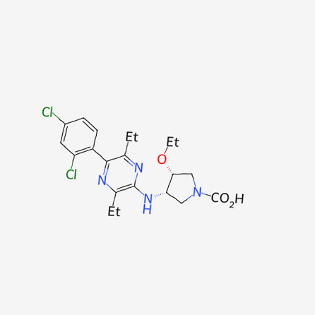 CCO[C@@H]1CN(C(=O)O)C[C@@H]1Nc1nc(CC)c(-c2ccc(Cl)cc2Cl)nc1CC